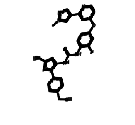 Cn1cc(-c2cc(Oc3ccc(NC(=O)Nc4cc(C(C)(C)C)nn4-c4ccc(CO)cc4)c(F)c3)ccn2)cn1